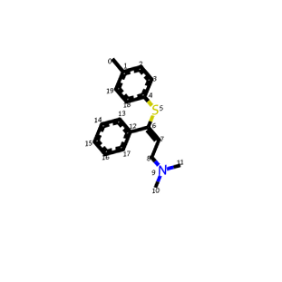 Cc1ccc(S/C(=C/CN(C)C)c2ccccc2)cc1